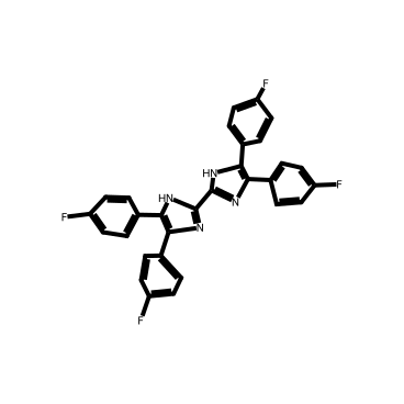 Fc1ccc(-c2nc(-c3nc(-c4ccc(F)cc4)c(-c4ccc(F)cc4)[nH]3)[nH]c2-c2ccc(F)cc2)cc1